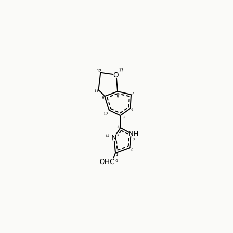 O=Cc1c[nH]c(-c2ccc3c(c2)CCO3)n1